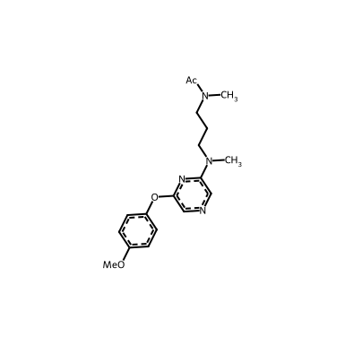 COc1ccc(Oc2cncc(N(C)CCCN(C)C(C)=O)n2)cc1